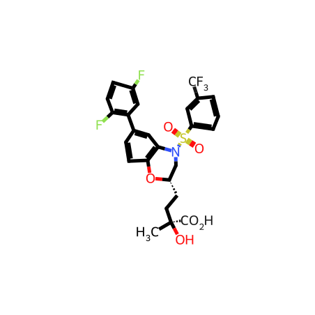 C[C@](O)(CC[C@H]1CN(S(=O)(=O)c2cccc(C(F)(F)F)c2)c2cc(-c3cc(F)ccc3F)ccc2O1)C(=O)O